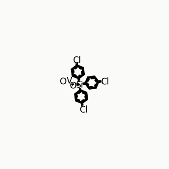 [O]=[V][O][Si](c1ccc(Cl)cc1)(c1ccc(Cl)cc1)c1ccc(Cl)cc1